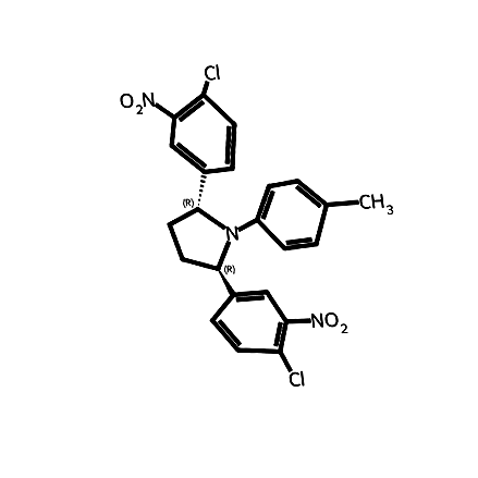 Cc1ccc(N2[C@@H](c3ccc(Cl)c([N+](=O)[O-])c3)CC[C@@H]2c2ccc(Cl)c([N+](=O)[O-])c2)cc1